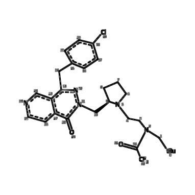 CC(C)(C)CN(CCN1CCC[C@@H]1Cn1nc(Cc2ccc(Cl)cc2)c2cnccc2c1=O)C(=O)C(F)(F)F